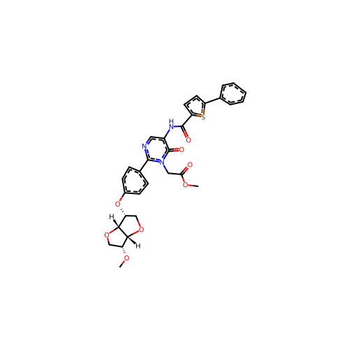 COC(=O)Cn1c(-c2ccc(O[C@@H]3CO[C@H]4[C@@H]3OC[C@H]4OC)cc2)ncc(NC(=O)c2ccc(-c3ccccc3)s2)c1=O